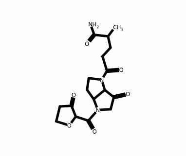 CC(C[CH]C(=O)N1CCC2C1C(=O)CN2C(=O)C1OCCC1=O)C(N)=O